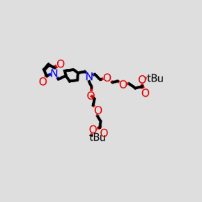 CC(C)(C)OC(=O)CCOCCOCCN(CCOCCOCCC(=O)OC(C)(C)C)CC1CCC(CN2C(=O)C=CC2=O)CC1